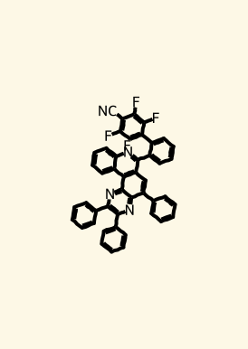 N#Cc1c(F)c(F)c(-c2ccccc2-c2nc3ccccc3c3c2cc(-c2ccccc2)c2nc(-c4ccccc4)c(-c4ccccc4)nc23)c(F)c1F